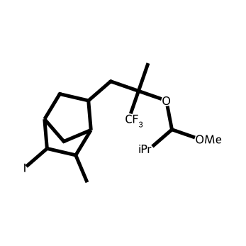 COC(OC(C)(CC1CC2CC1C(C)C2I)C(F)(F)F)C(C)C